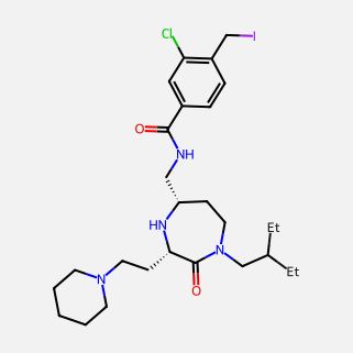 CCC(CC)CN1CC[C@@H](CNC(=O)c2ccc(CI)c(Cl)c2)N[C@@H](CCN2CCCCC2)C1=O